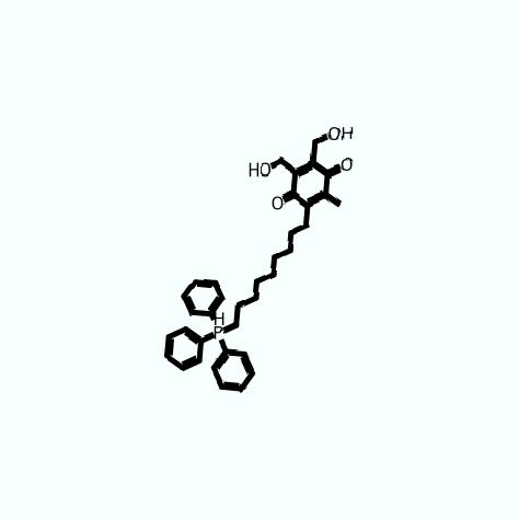 CC1=C(CCCCCCCCC[PH](c2ccccc2)(c2ccccc2)c2ccccc2)C(=O)C(CO)=C(CO)C1=O